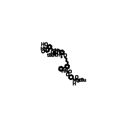 CC(C)(C)OC(=O)N[C@H]1CC[C@H](OC(=O)Nc2ccc(CCCCOc3ccc(CNC[C@H](O[Si](C)(C)C(C)(C)C)c4ccc(O)c5[nH]c(=O)ccc45)cc3)cc2-c2ccccc2)CC1